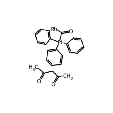 CC(=O)CC(C)=O.O=[C]([Rh])[PH](c1ccccc1)(c1ccccc1)c1ccccc1